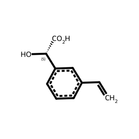 C=Cc1cccc([C@H](O)C(=O)O)c1